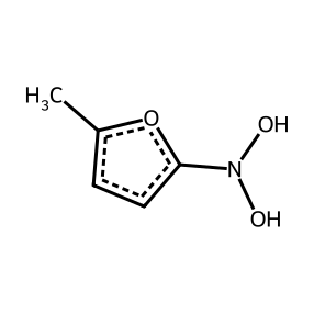 Cc1ccc(N(O)O)o1